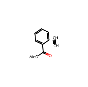 C#C.COC(=O)c1ccccc1